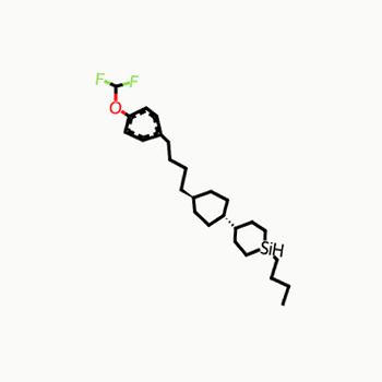 CCCC[SiH]1CCC([C@H]2CC[C@H](CCCCc3ccc(OC(F)F)cc3)CC2)CC1